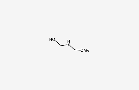 COCBCO